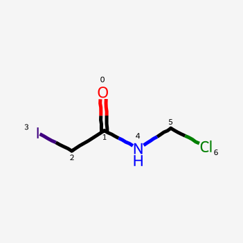 O=C(CI)NCCl